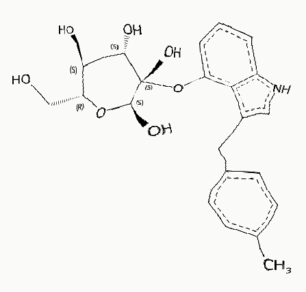 Cc1ccc(Cc2c[nH]c3cccc(O[C@]4(O)[C@@H](O)O[C@H](CO)[C@@H](O)[C@@H]4O)c23)cc1